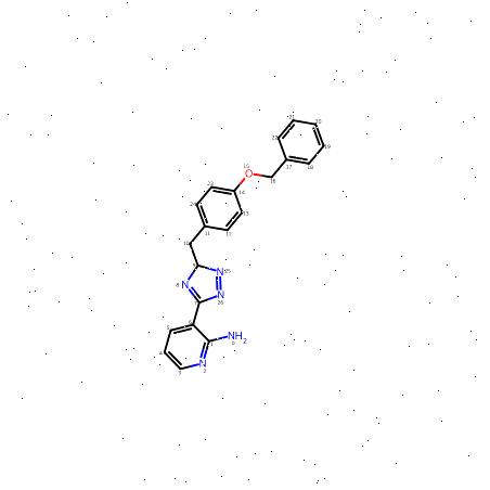 Nc1ncccc1C1=NC(Cc2ccc(OCc3ccccc3)cc2)N=N1